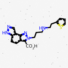 O=C(O)c1c2ccc3[nH]ncc3c2nn1CCCNCCc1cccs1